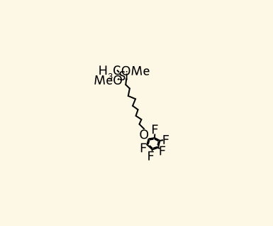 CO[Si](C)(CCCCCCCCCCCOc1c(F)c(F)c(F)c(F)c1F)OC